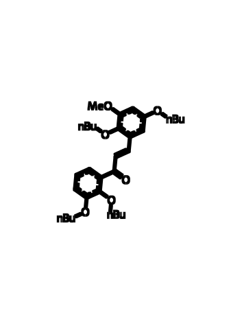 CCCCOc1cc(C=CC(=O)c2cccc(OCCCC)c2OCCCC)c(OCCCC)c(OC)c1